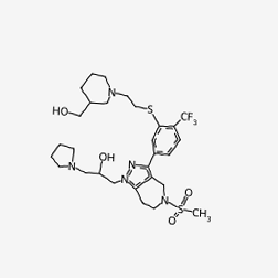 CS(=O)(=O)N1CCc2c(c(-c3ccc(C(F)(F)F)c(SCCN4CCCC(CO)C4)c3)nn2CC(O)CN2CCCC2)C1